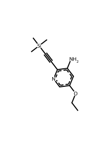 CCOc1cnc(C#C[Si](C)(C)C)c(N)c1